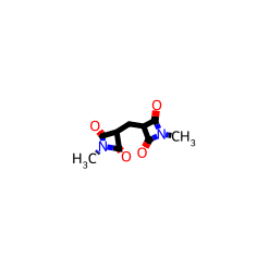 CN1C(=O)C(CC2C(=O)N(C)C2=O)C1=O